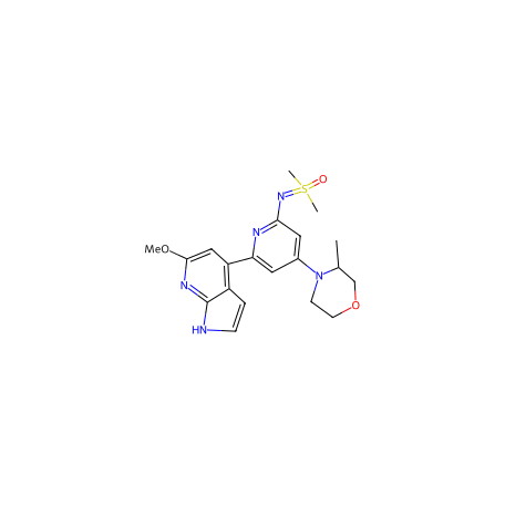 COc1cc(-c2cc(N3CCOCC3C)cc(N=S(C)(C)=O)n2)c2cc[nH]c2n1